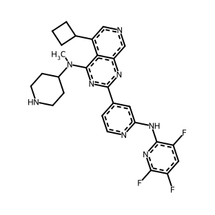 CN(c1nc(-c2ccnc(Nc3nc(F)c(F)cc3F)c2)nc2cncc(C3CCC3)c12)C1CCNCC1